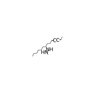 CC=C=C=CCCC(CCCCCC)NNC